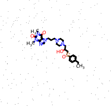 CCc1ccc([S+]([O-])CC(O)CN2CCN(CCCn3cnc4c3c(=O)n(C)c(=O)n4C)CC2)cc1